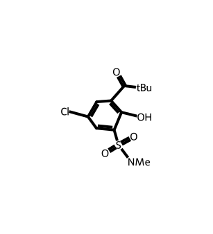 CNS(=O)(=O)c1cc(Cl)cc(C(=O)C(C)(C)C)c1O